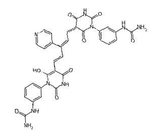 NC(=O)Nc1cccc(N2C(=O)NC(=O)C(=CC=C(C=Cc3c(O)n(-c4cccc(NC(N)=O)c4)c(=O)[nH]c3=O)c3ccncc3)C2=O)c1